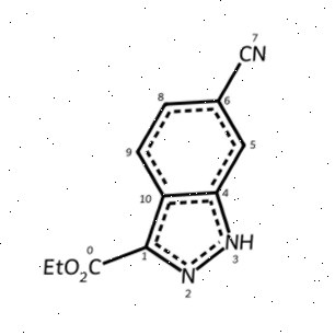 CCOC(=O)c1n[nH]c2cc(C#N)ccc12